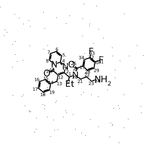 CCC(c1nc2ccccn2c(=O)c1Cc1ccccc1)N(CCCN)C(=O)c1ccc(F)c(F)c1